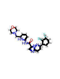 O=C(NC1=CC=CC(CN2CCOCC2)N1)c1cnc2ccc(-c3cccc(F)c3F)nn12